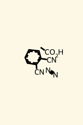 CC(=O)O.N#Cc1ccccc1C#N.N#N